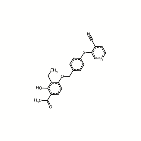 CCc1c(OCc2ccc(Sc3cnccc3C#N)cc2)ccc(C(C)=O)c1O